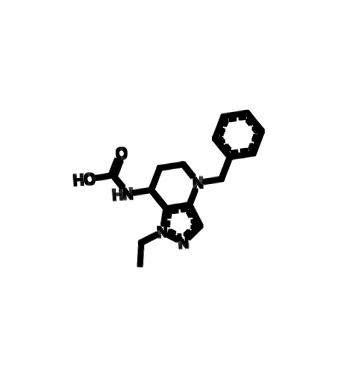 CCn1ncc2c1C(NC(=O)O)CCN2Cc1ccccc1